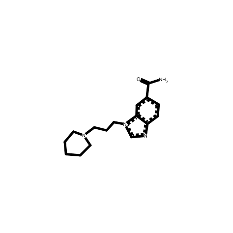 NC(=O)c1ccc2ncn(CCCN3CCCCC3)c2c1